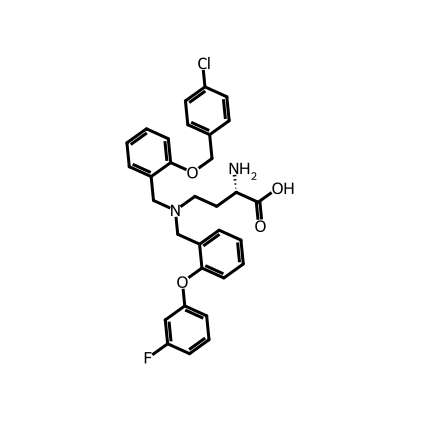 N[C@@H](CCN(Cc1ccccc1OCc1ccc(Cl)cc1)Cc1ccccc1Oc1cccc(F)c1)C(=O)O